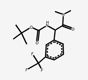 CN(C)C(=O)C(NC(=O)OC(C)(C)C)c1cccc(C(F)(F)F)c1